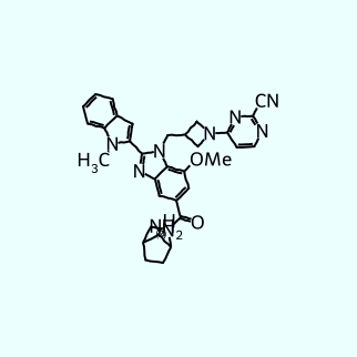 COc1cc(C(=O)N2CC3CCC2[C@@H]3N)cc2nc(-c3cc4ccccc4n3C)n(CC3CN(c4ccnc(C#N)n4)C3)c12